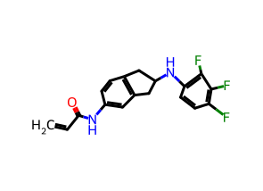 C=CC(=O)Nc1ccc2c(c1)CC(Nc1ccc(F)c(F)c1F)C2